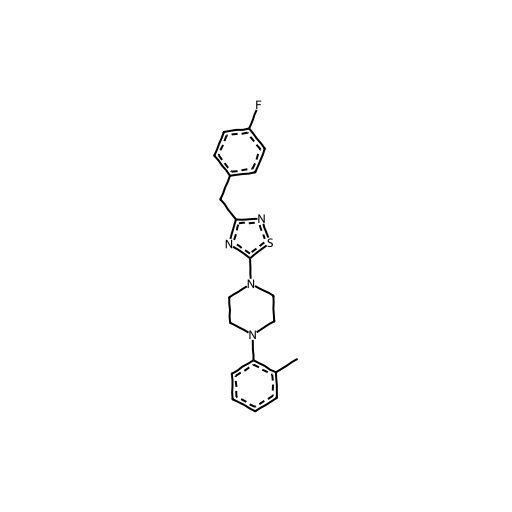 Cc1ccccc1N1CCN(c2nc(Cc3ccc(F)cc3)ns2)CC1